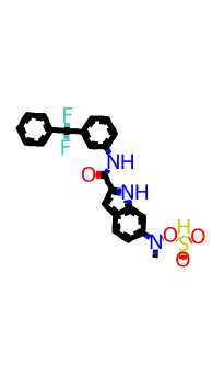 CN(O[SH](=O)=O)c1ccc2cc(C(=O)Nc3cccc(C(F)(F)c4ccccc4)c3)[nH]c2c1